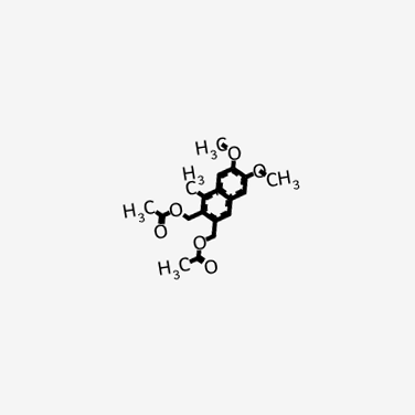 COc1cc2cc(COC(C)=O)c(COC(C)=O)c(C)c2cc1OC